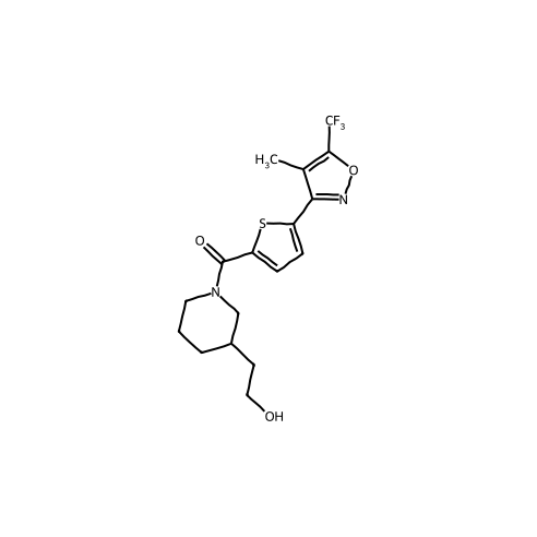 Cc1c(-c2ccc(C(=O)N3CCCC(CCO)C3)s2)noc1C(F)(F)F